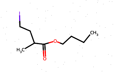 CCCCOC(=O)C(C)CCI